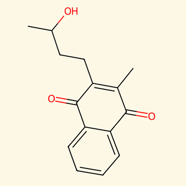 CC1=C(CCC(C)O)C(=O)c2ccccc2C1=O